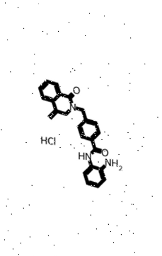 C=C1CN(Cc2ccc(C(=O)Nc3ccccc3N)cc2)C(=O)c2ccccc21.Cl